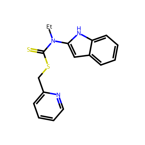 CCN(C(=S)SCc1ccccn1)c1cc2ccccc2[nH]1